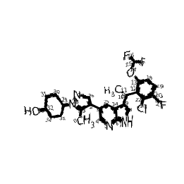 Cc1c(-c2cnc3[nH]cc([C@H](C)c4c(OC(F)F)ccc(F)c4Cl)c3c2)cnn1C1CCC(O)CC1